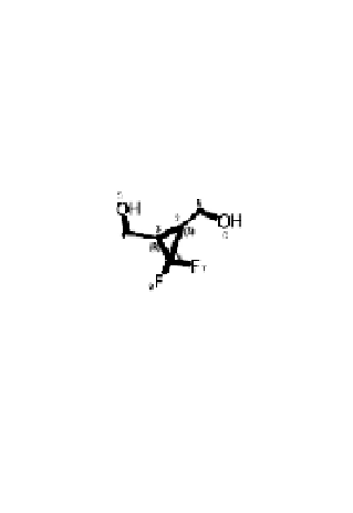 OC[C@@H]1[C@H](CO)C1(F)F